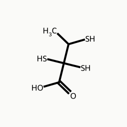 CC(S)C(S)(S)C(=O)O